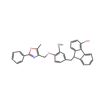 COc1cc(CC2c3ccccc3-c3c(O)cccc32)ccc1OCc1nc(-c2ccccc2)oc1C